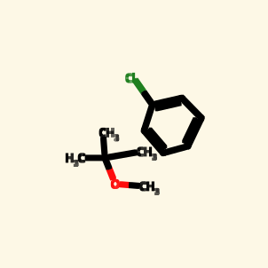 COC(C)(C)C.Clc1ccccc1